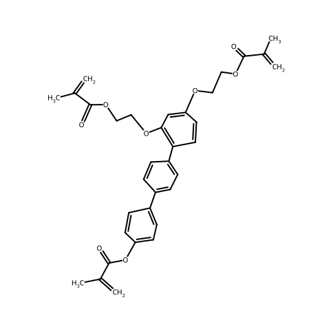 C=C(C)C(=O)OCCOc1ccc(-c2ccc(-c3ccc(OC(=O)C(=C)C)cc3)cc2)c(OCCOC(=O)C(=C)C)c1